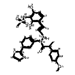 COc1ccc(C(C)C(=O)N(NCCc2ccc(O)c(NS(C)(=O)=O)c2O)c2cccc(-c3ncco3)c2)cc1